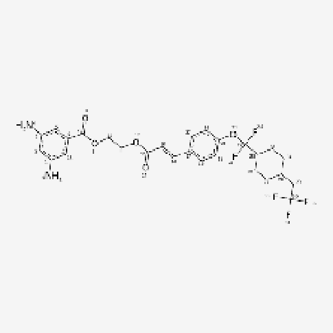 Nc1cc(N)cc(C(=O)OCCOC(=O)C=Cc2ccc(OC(F)(F)C3CCC(CC(F)(F)F)CC3)cc2)c1